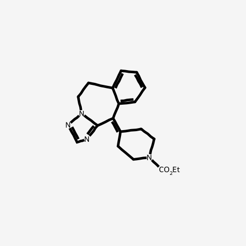 CCOC(=O)N1CCC(=C2c3ccccc3CCn3ncnc32)CC1